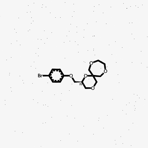 Brc1ccc(OC[C@@H]2COCC3(COCCOC3)O2)cc1